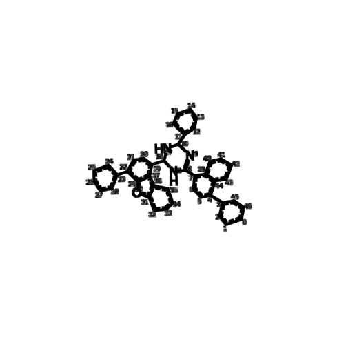 c1ccc(-c2ccc(C3=NC(c4ccccc4)NC(c4ccc(-c5ccccc5)c5oc6ccccc6c45)N3)c3ccccc23)cc1